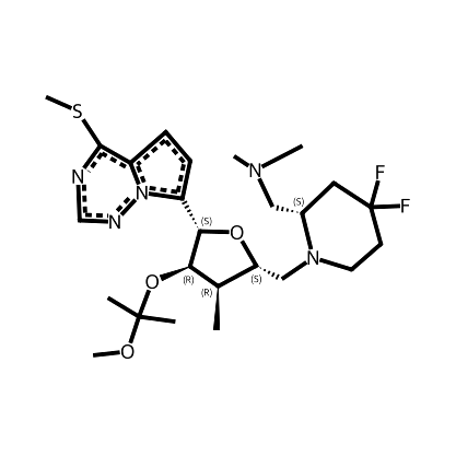 COC(C)(C)O[C@@H]1[C@H](C)[C@@H](CN2CCC(F)(F)C[C@H]2CN(C)C)O[C@H]1c1ccc2c(SC)ncnn12